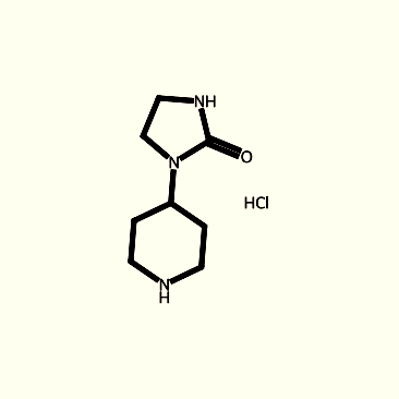 Cl.O=C1NCCN1C1CCNCC1